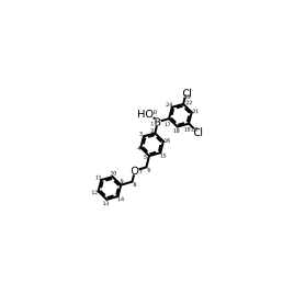 OB(c1ccc(COCc2ccccc2)cc1)c1cc(Cl)cc(Cl)c1